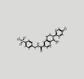 CCS(=O)(=O)c1ccc(CNC(=O)c2cnc3c(c2)CCN(c2ncc(Cl)cn2)C3C(C)C)cc1